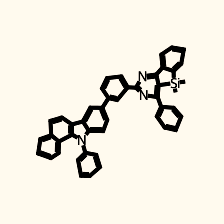 C[Si]1(C)c2ccccc2-c2nc(-c3cccc(-c4ccc5c(c4)c4ccc6ccccc6c4n5-c4ccccc4)c3)nc(-c3ccccc3)c21